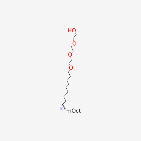 CCCCCCCC/C=C\CCCCCCCCOCCOCCOCCO